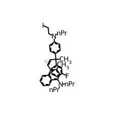 CCCN(CCI)c1ccc(C(C)(/C=C\c2c(C)cc(N(CCC)CCC)c3ccccc23)c2cccc(F)c2)cc1